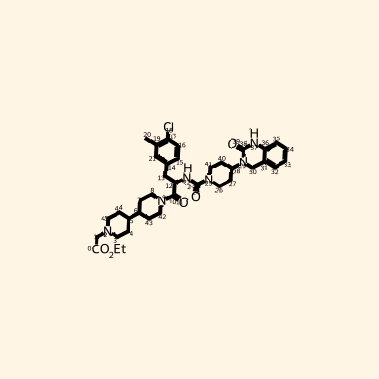 CCOC(=O)CN1CCC(C2CCN(C(=O)C(Cc3ccc(Cl)c(C)c3)NC(=O)N3CCC(N4Cc5ccccc5NC4=O)CC3)CC2)CC1